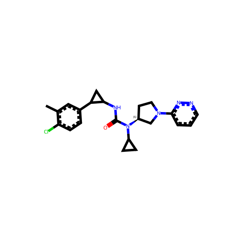 Cc1cc(C2CC2NC(=O)N(C2CC2)[C@H]2CCN(c3cccnn3)C2)ccc1Cl